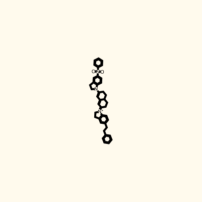 O=S(=O)(c1ccccc1)c1ccc2c(c1)CCN2C1=CC2=C/C(=[N+]3\CCc4cc(CCc5ccccc5)ccc43)CCC2CC1